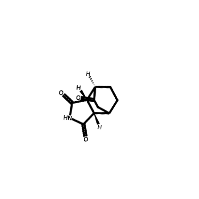 O=C1NC(=O)[C@H]2C3CC[C@@H](C(=O)C3)[C@@H]12